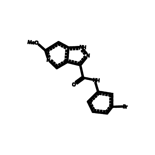 COc1cc2[nH]nc(C(=O)Nc3cccc(Br)c3)c2cn1